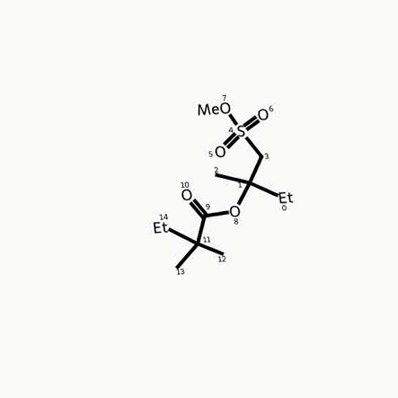 CCC(C)(CS(=O)(=O)OC)OC(=O)C(C)(C)CC